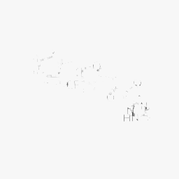 O=C(Cc1ccc(Cc2ccccc2C(F)(F)F)o1)C(=O)c1nc[nH]n1